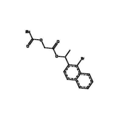 CCC(C)C(=O)OCC(=O)OC(C)c1ccc2ccccc2c1Br